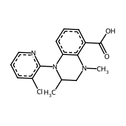 CC1CN(C)c2c(C(=O)O)cccc2N1c1ncccc1Cl